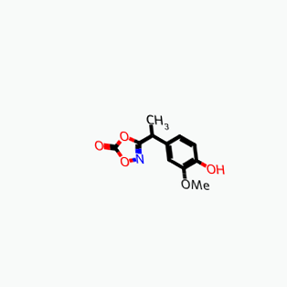 COc1cc(C(C)c2noc(=O)o2)ccc1O